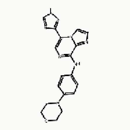 c1cn2c(-c3nc[nH]n3)cnc(Nc3ccc(N4CCOCC4)cc3)c2n1